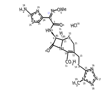 CO/N=C(\C(=O)N[C@@H]1C(=O)N2C(C(=O)O)=C(CSc3nnnn3C)CS[C@H]12)c1csc(N)n1.Cl